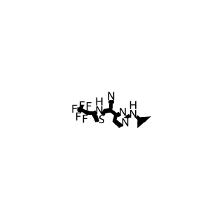 N#C/C(=C1\NC(C(F)(F)C(F)(F)F)=CS1)c1ccnc(NC2CC2)n1